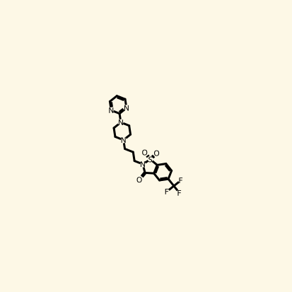 O=C1c2cc(C(F)(F)F)ccc2S(=O)(=O)N1CCCN1CCN(c2ncccn2)CC1